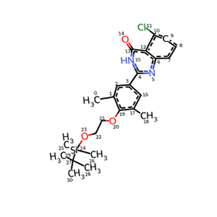 Cc1cc(-c2nc3cccc(Cl)c3c(=O)[nH]2)cc(C)c1OCCO[Si](C)(C)C(C)(C)C